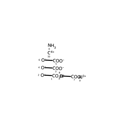 N.O=C([O-])O.O=C([O-])[O-].O=C([O-])[O-].O=C([O-])[O-].[Al+3].[C+4]